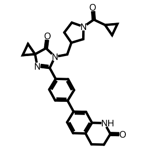 O=C1CCc2ccc(-c3ccc(C4=NC5(CC5)C(=O)N4CC4CCN(C(=O)C5CC5)C4)cc3)cc2N1